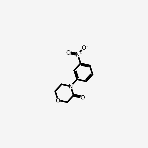 O=C1COCCN1c1cccc([N+](=O)[O-])c1